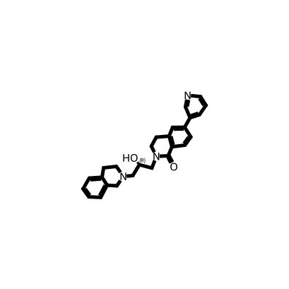 O=C1c2ccc(-c3cccnc3)cc2CCN1C[C@H](O)CN1CCc2ccccc2C1